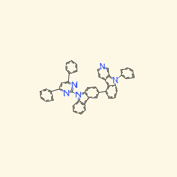 c1ccc(-c2cc(-c3ccccc3)nc(-n3c4ccccc4c4cc(-c5cccc6c5c5ccncc5n6-c5ccccc5)ccc43)n2)cc1